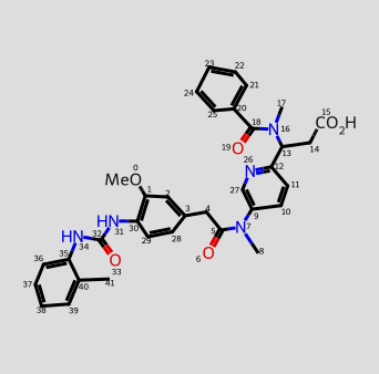 COc1cc(CC(=O)N(C)c2ccc(C(CC(=O)O)N(C)C(=O)c3ccccc3)nc2)ccc1NC(=O)Nc1ccccc1C